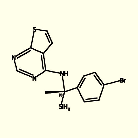 C[C@@]([SiH3])(Nc1ncnc2sccc12)c1ccc(Br)cc1